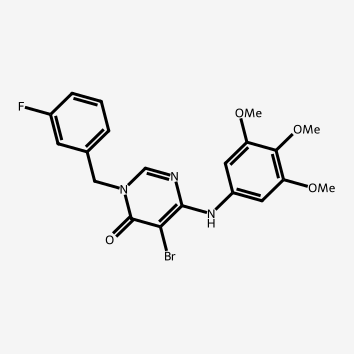 COc1cc(Nc2ncn(Cc3cccc(F)c3)c(=O)c2Br)cc(OC)c1OC